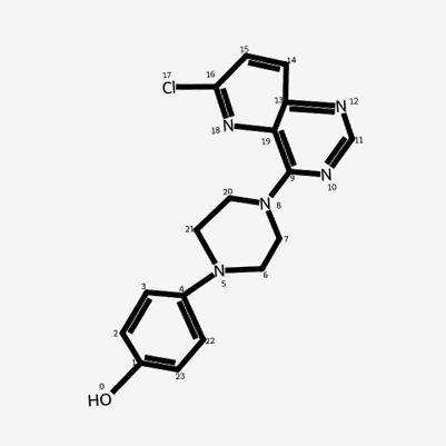 Oc1ccc(N2CCN(c3ncnc4ccc(Cl)nc34)CC2)cc1